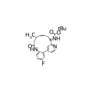 CC1C=CC[C@H](NC(=O)OC(C)(C)C)c2cc(ccn2)-c2cc(F)ccc2NC(=O)C1